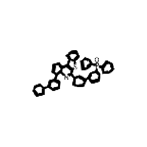 O=P(c1ccccc1)(c1ccccc1)c1cccc(-c2cccc(-c3nc4c(-c5cccc(-c6ccccc6)c5)cccc4c4c3sc3ccccc34)c2)c1